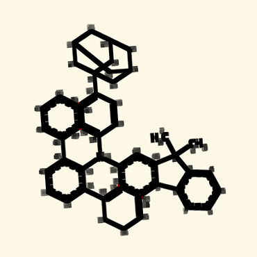 CC1(C)c2ccccc2-c2ccc(N(C3=C=C=C(C45CC6CC(CC(C6)C4)C5)C=C3)c3c(C4=CC=CCC4)cccc3-c3ccccc3)cc21